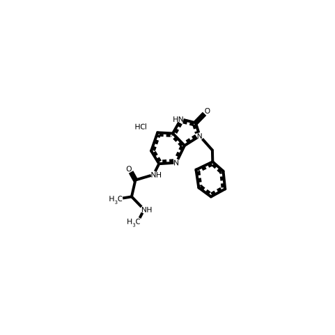 CNC(C)C(=O)Nc1ccc2[nH]c(=O)n(Cc3ccccc3)c2n1.Cl